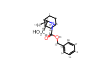 O=C(O)[C@@H]1C2CCC(CC2)N1C(=O)OCc1ccccc1